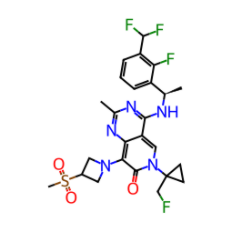 Cc1nc(N[C@H](C)c2cccc(C(F)F)c2F)c2cn(C3(CF)CC3)c(=O)c(N3CC(S(C)(=O)=O)C3)c2n1